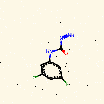 N=NC(=O)Nc1cc(F)cc(F)c1